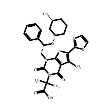 Cc1c(-c2ncco2)sc2c1c(=O)n(C(C)(C)C(=O)O)c(=O)n2C[C@@H](O[C@H]1CCC[C@@H](O)C1)c1ccccc1